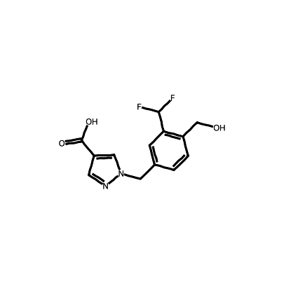 O=C(O)c1cnn(Cc2ccc(CO)c(C(F)F)c2)c1